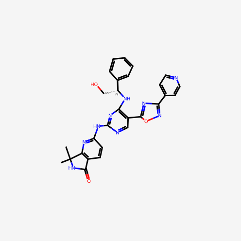 CC1(C)NC(=O)c2ccc(Nc3ncc(-c4nc(-c5ccncc5)no4)c(N[C@H](CO)c4ccccc4)n3)nc21